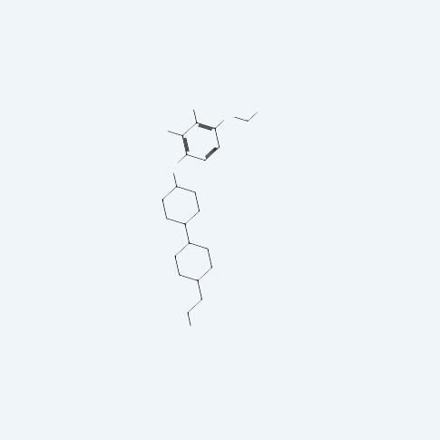 CCCC1CCC(C2CCC(Oc3ccc(OCC)c(F)c3F)CC2)CC1